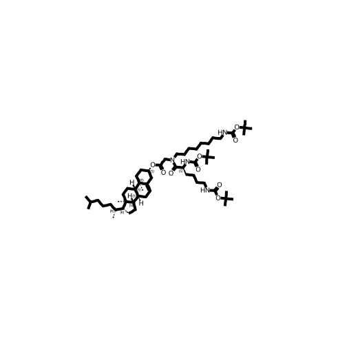 CC(C)CCC[C@@H](C)[C@H]1CC[C@H]2[C@@H]3CC=C4C[C@@H](OC(=O)CN(CCCCCCCCNC(=O)OC(C)(C)C)C(=O)[C@H](CCCCNC(=O)OC(C)(C)C)NC(=O)OC(C)(C)C)CC[C@]4(C)[C@H]3CC[C@]12C